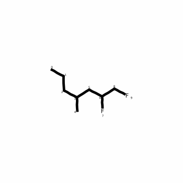 CCCC(C)CC(F)CF